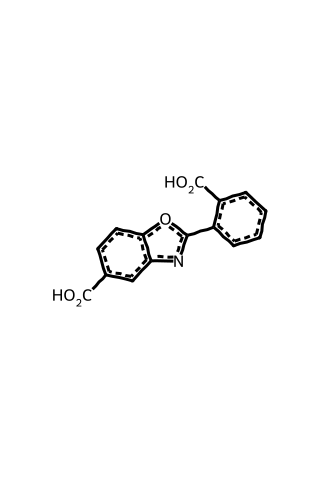 O=C(O)c1ccc2oc(-c3ccccc3C(=O)O)nc2c1